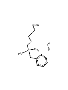 CCCCCCCCCCCCC[N+](C)(C)Cc1ccccc1.CCl